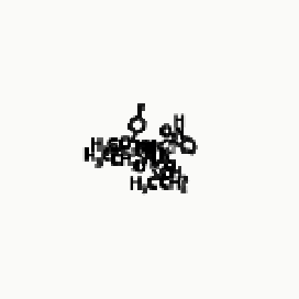 CC(C)(C)CC[C@H](NC(=O)c1ccc(F)cc1)C(=O)N[C@@H](CC(C)(C)C)C(=O)N1C[C@]2(C[C@H]1C#N)C(=O)Nc1ccccc12